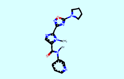 CCN(C(=O)c1cnc(-c2noc(N3CCCC3)n2)n1C)c1cccnc1